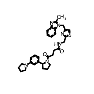 Cc1nc2ccccc2n1Cc1csc(CNC(=O)CCC(=O)N2CCCC2c2cccc(N3CCCC3)c2)n1